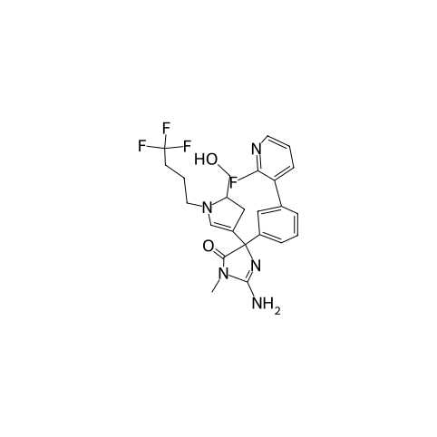 CN1C(=O)C(C2=CN(CCCC(F)(F)F)C(CO)C2)(c2cccc(-c3cccnc3F)c2)N=C1N